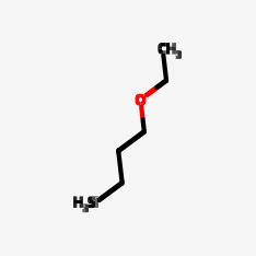 CCOCCC[SiH3]